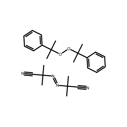 CC(C)(C#N)/N=N/C(C)(C)C#N.CC(C)(OOC(C)(C)c1ccccc1)c1ccccc1